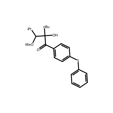 CCCCC(O)(C(=O)c1ccc(Sc2ccccc2)cc1)C(OC)C(C)C